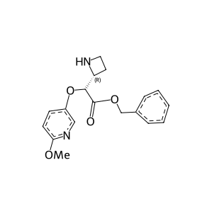 COc1ccc(OC(C(=O)OCc2ccccc2)[C@H]2CCN2)cn1